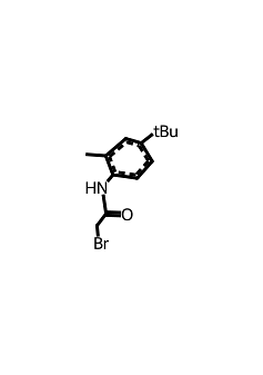 Cc1cc(C(C)(C)C)ccc1NC(=O)CBr